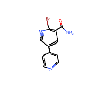 NC(=O)c1cc(-c2ccncc2)cnc1Br